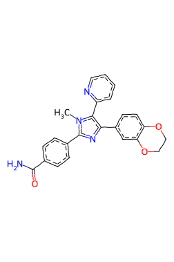 Cn1c(-c2ccc(C(N)=O)cc2)nc(-c2ccc3c(c2)OCCO3)c1-c1ccccn1